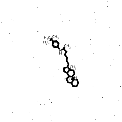 C=C(CCCCCC1CCC2C3CCC4CCCCC4(C)[C@H]3CCC12C)Nc1ccc(C(C)(C)C)cc1